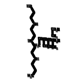 CC(=O)O.CC(=O)O.CC(=O)O.CC(=O)O.CC(=O)O.NCCNCCNCCNCCO